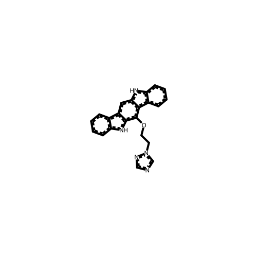 c1ccc2c(c1)[nH]c1c(OCCn3cncn3)c3c(cc12)[nH]c1ccccc13